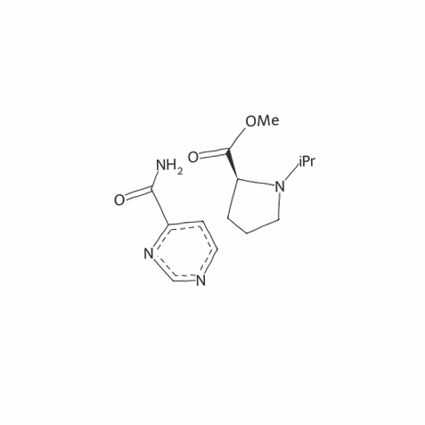 COC(=O)[C@@H]1CCCN1C(C)C.NC(=O)c1ccncn1